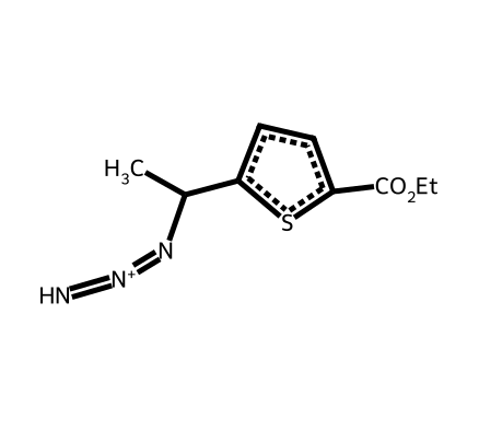 CCOC(=O)c1ccc(C(C)N=[N+]=N)s1